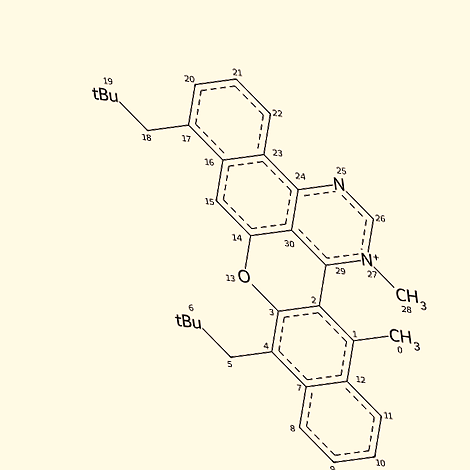 Cc1c2c(c(CC(C)(C)C)c3ccccc13)Oc1cc3c(CC(C)(C)C)cccc3c3nc[n+](C)c-2c13